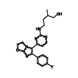 CC(CO)CCNc1nccc(-c2c(-c3ccc(F)cc3)nc3occn23)n1